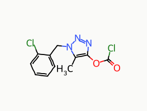 Cc1c(OC(=O)Cl)nnn1Cc1ccccc1Cl